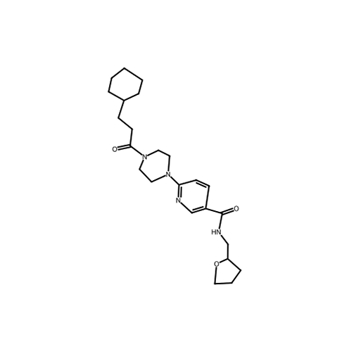 O=C(NCC1CCCO1)c1ccc(N2CCN(C(=O)CCC3CCCCC3)CC2)nc1